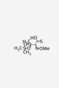 C=C(O[Si](C)(C)C)C(=NOC)C(O)=S